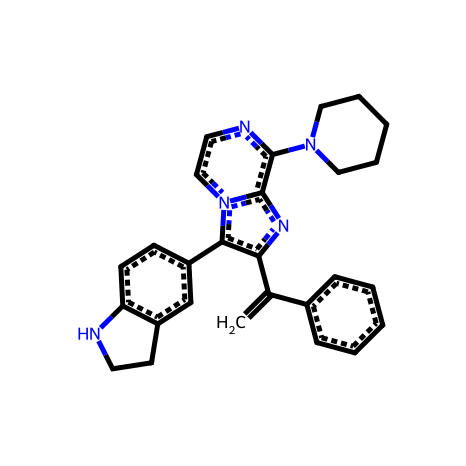 C=C(c1ccccc1)c1nc2c(N3CCCCC3)nccn2c1-c1ccc2c(c1)CCN2